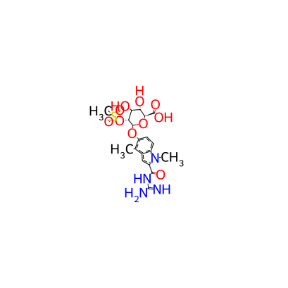 Cc1c(O[C@@H]2O[C@H](C(=O)O)[C@@H](O)[C@H](O)[C@H]2OS(C)(=O)=O)ccc2c1cc(C(=O)NC(=N)N)n2C